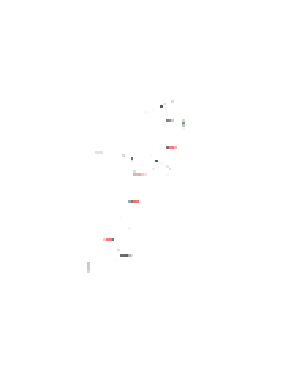 C=C(C)C(=O)OCC(=O)OC1OC(C(=O)OC(C(F)(F)F)C(F)(F)F)(C(F)(F)F)CC1C